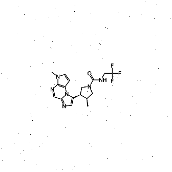 C[C@@H]1CN(C(=O)NCC(F)(F)F)C[C@@H]1c1cnc2cnc3c(ccn3C)n12